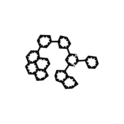 c1ccc(-c2nc(-c3cccc(-c4cccc(-c5ccc6ccc7cccc8ccc5c6c78)c4)c3)cc(-c3cccc4ccccc34)n2)cc1